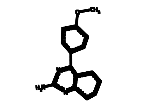 COc1ccc(-c2nc(N)nc3ccccc23)cc1